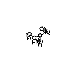 CCOc1nc2ccccc2n1Cc1ccc(-c2cc(-c3cccnc3OC)ccc2-c2noc(=O)[nH]2)cc1